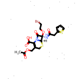 CC(=O)OCC1=C(C(=O)O)N2C(=O)[C@@](NC(=O)Cc3cccs3)(OCCBr)[C@H]2SC1